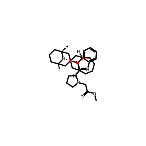 COC(=O)CN1CCC[C@H]1c1nc2ccccc2n1[C@@H]1C[C@H]2CCC[C@@H](C1)N2[C@@H]1C[C@@H]2CCCC[C@@H](C2)C1